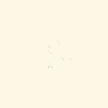 N#Cc1cccc(F)c1-c1cc(-n2ccc([C@@H]3CCCO3)n2)c2c(n1)CNC2=O